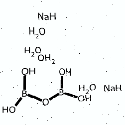 O.O.O.O.OB(O)OB(O)O.[NaH].[NaH]